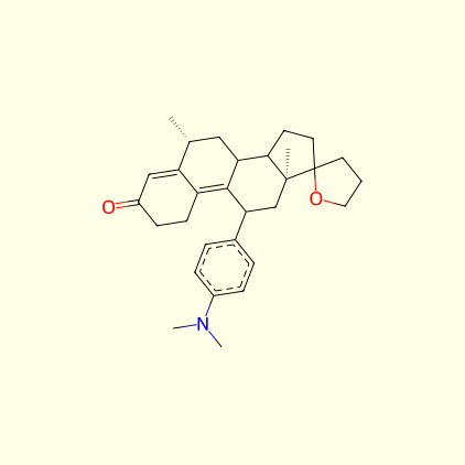 C[C@@H]1CC2C(=C3CCC(=O)C=C31)C(c1ccc(N(C)C)cc1)C[C@@]1(C)C2CCC12CCCO2